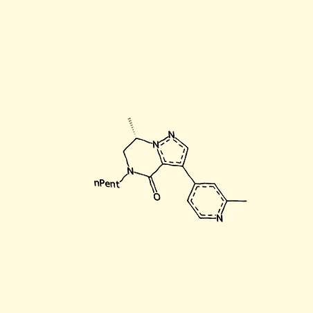 CCCCCN1C[C@H](C)n2ncc(-c3ccnc(C)c3)c2C1=O